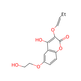 CCC=COc1c(O)c2cc(OCCO)ccc2oc1=O